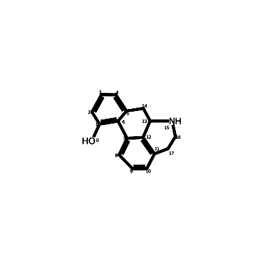 Oc1cccc2c1-c1cccc3c1C(C2)NCC3